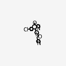 O=C1Cc2cc(Cl)ccc2C(=C2CCN(C(=O)Cc3ccncc3)CC2)c2ncccc21